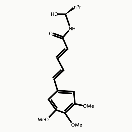 CCC[C@H](O)NC(=O)/C=C/C=C/c1cc(OC)c(OC)c(OC)c1